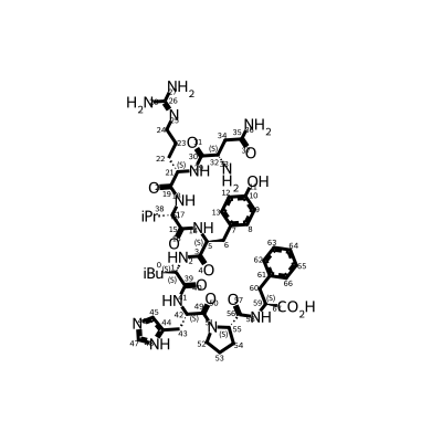 CC[C@H](C)[C@H](NC(=O)[C@H](Cc1ccc(O)cc1)NC(=O)[C@@H](NC(=O)[C@H](CCCN=C(N)N)NC(=O)[C@@H](N)CC(N)=O)C(C)C)C(=O)N[C@@H](Cc1cnc[nH]1)C(=O)N1CCC[C@H]1C(=O)N[C@@H](Cc1ccccc1)C(=O)O